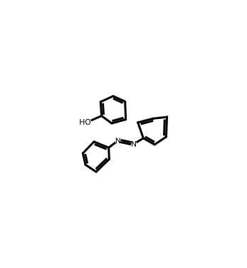 Oc1ccccc1.c1ccc(N=Nc2ccccc2)cc1